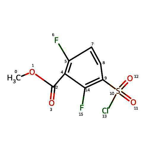 COC(=O)c1c(F)ccc(S(=O)(=O)Cl)c1F